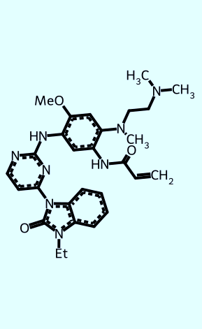 C=CC(=O)Nc1cc(Nc2nccc(-n3c(=O)n(CC)c4ccccc43)n2)c(OC)cc1N(C)CCN(C)C